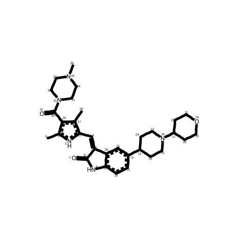 Cc1[nH]c(/C=C2\C(=O)Nc3ccc(C4CCN(C5CCOCC5)CC4)cc32)c(C)c1C(=O)N1CCN(C)CC1